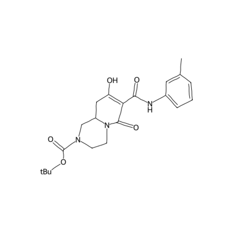 Cc1cccc(NC(=O)C2=C(O)CC3CN(C(=O)OC(C)(C)C)CCN3C2=O)c1